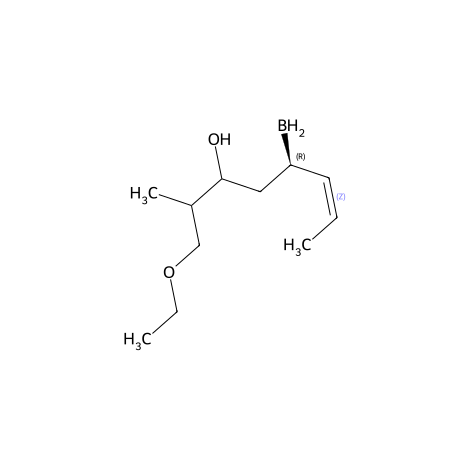 B[C@@H](/C=C\C)CC(O)C(C)COCC